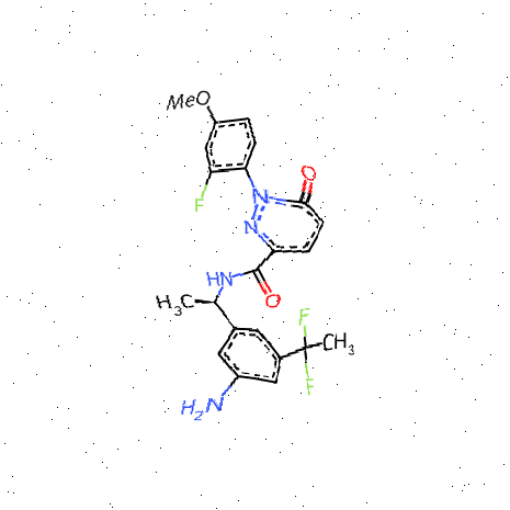 COc1ccc(-n2nc(C(=O)N[C@H](C)c3cc(N)cc(C(C)(F)F)c3)ccc2=O)c(F)c1